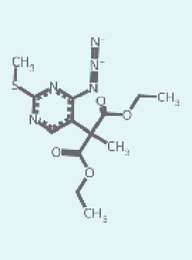 CCOC(=O)C(C)(C(=O)OCC)c1cnc(SC)nc1N=[N+]=[N-]